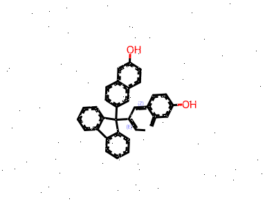 C=c1cc(O)cc/c1=C/C(=C\C)C1(c2ccc3cc(O)ccc3c2)c2ccccc2-c2ccccc21